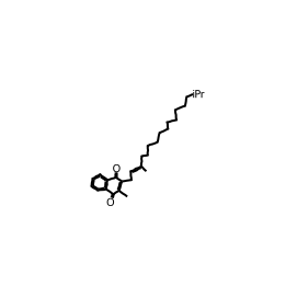 CC1=C(C/C=C(\C)CCCCCCCCCCCC(C)C)C(=O)c2ccccc2C1=O